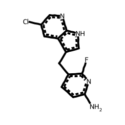 Nc1ccc(Cc2c[nH]c3ncc(Cl)cc23)c(F)n1